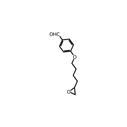 O=Cc1ccc(OCCCCC2CO2)cc1